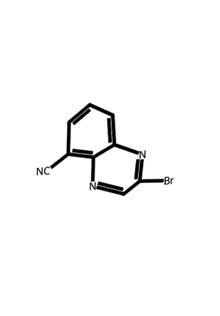 N#Cc1cccc2nc(Br)cnc12